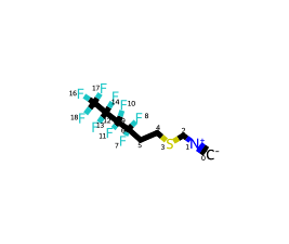 [C-]#[N+]CSCCC(F)(F)C(F)(F)C(F)(F)C(F)(F)F